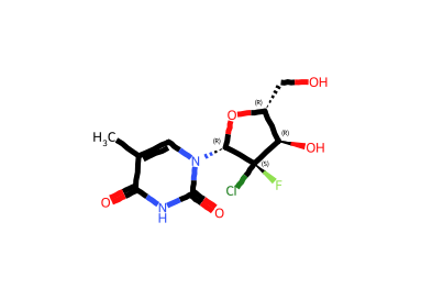 Cc1cn([C@@H]2O[C@H](CO)[C@@H](O)[C@]2(F)Cl)c(=O)[nH]c1=O